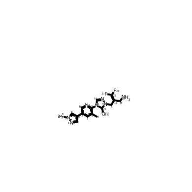 Cc1cc(-c2cnn(C(C)C)c2)cnc1N1C=NN(CC(CN)=C(F)F)C1O